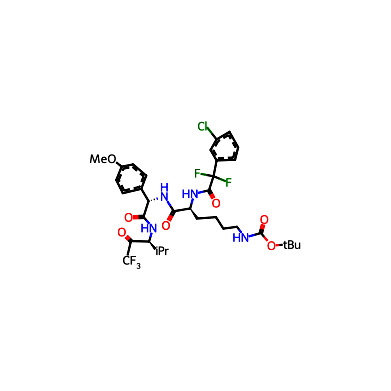 COc1ccc([C@H](NC(=O)[C@H](CCCCNC(=O)OC(C)(C)C)NC(=O)C(F)(F)c2cccc(Cl)c2)C(=O)N[C@H](C(=O)C(F)(F)F)C(C)C)cc1